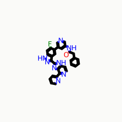 O=C(Cc1ccccc1)Nc1cncc(-c2cc3c(-c4nc5c(-c6ccccn6)nccc5[nH]4)n[nH]c3cc2F)c1